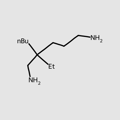 CCCCC(CC)(CN)CCCN